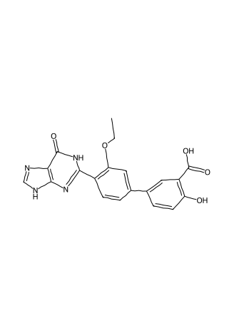 CCOc1cc(-c2ccc(O)c(C(=O)O)c2)ccc1-c1nc2[nH]cnc2c(=O)[nH]1